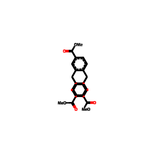 COC(=O)c1ccc2c(c1)C1c3ccc(C(=O)OC)cc3C2c2cc(C(=O)OC)ccc21